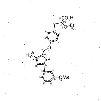 CCO[C@@H](Cc1ccc(OCc2sc(-c3cccc(OC)c3)cc2C)cc1)C(=O)O